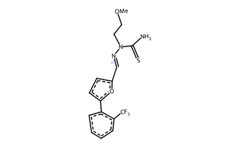 COCCN(/N=C/c1ccc(-c2ccccc2C(F)(F)F)o1)C(N)=S